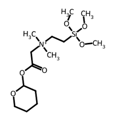 CO[Si](CC[N+](C)(C)CC(=O)OC1CCCCO1)(OC)OC